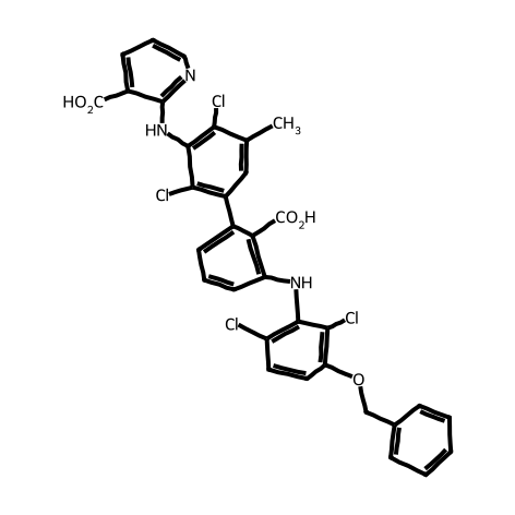 Cc1cc(-c2cccc(Nc3c(Cl)ccc(OCc4ccccc4)c3Cl)c2C(=O)O)c(Cl)c(Nc2ncccc2C(=O)O)c1Cl